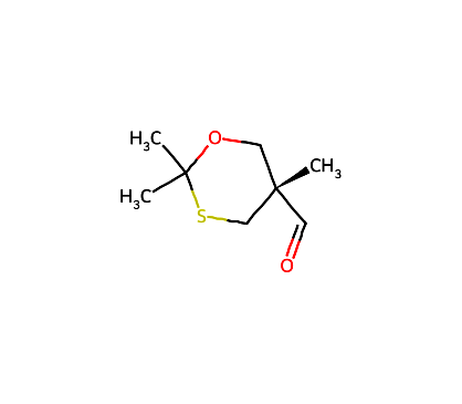 CC1(C)OC[C@](C)(C=O)CS1